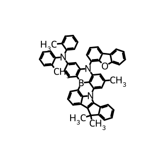 Cc1cc2c3c(c1)-n1c4c(c5cccc(c51)B3c1ccc(N(c3ccccc3C)c3ccccc3C)cc1N2c1cccc2c1oc1ccccc12)C(C)(C)c1ccccc1-4